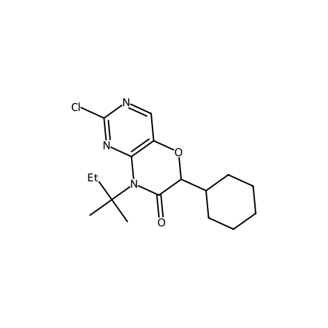 CCC(C)(C)N1C(=O)C(C2CCCCC2)Oc2cnc(Cl)nc21